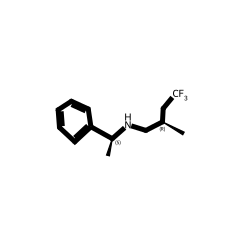 C[C@@H](CN[C@@H](C)c1ccccc1)CC(F)(F)F